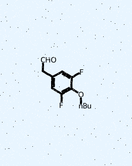 CCCCOc1c(F)cc(CC=O)cc1F